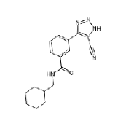 N#Cc1[nH]nnc1-c1cccc(C(=O)NCC2CCCCC2)c1